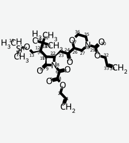 C=CCOC(=O)C(=O)N1C(=O)[C@@H]([C@@H](CO[SiH](C)C)C(C)(C)C)[C@H]1CC(=O)C1CN(C(=O)OCC=C)CCO1